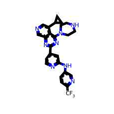 FC(F)(F)c1ccc(Nc2cc(-c3nc(N4CCNCC4)c4c(C5CC5)cncc4n3)ccn2)cn1